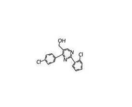 OCc1cnc(-c2ccccc2Cl)nc1-c1ccc(Cl)cc1